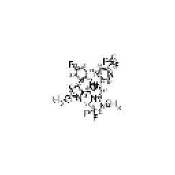 Cc1nc(C(=O)N2CC(F)(F)CC(C)C2CNc2cnc(C(F)(F)F)cn2)c(-c2cccc(F)c2)s1